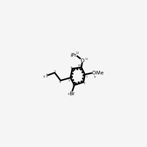 COc1cc(Br)c(CCI)cc1OC(C)C